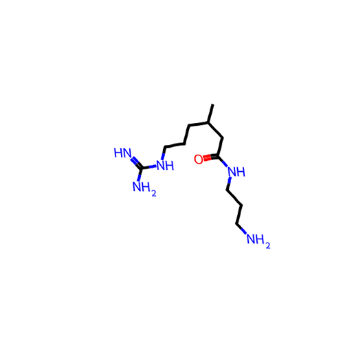 CC(CCCNC(=N)N)CC(=O)NCCCN